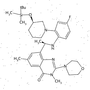 Cc1cc([C@@H](C)Nc2ccc(F)cc2N2CCC[C@@H](O[Si](C)(C)C(C)(C)C)C2)c2nc(N3CCOCC3)n(C)c(=O)c2c1